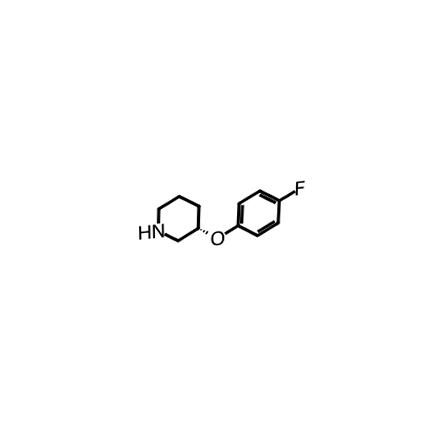 Fc1ccc(O[C@H]2CCCNC2)cc1